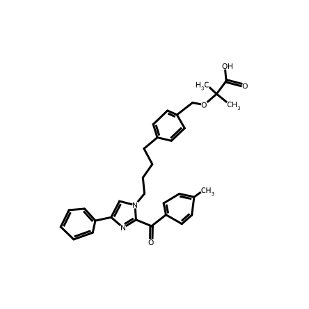 Cc1ccc(C(=O)c2nc(-c3ccccc3)cn2CCCCc2ccc(COC(C)(C)C(=O)O)cc2)cc1